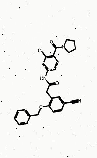 N#Cc1ccc(OCc2ccccc2)c(CC(=O)Nc2ccc(C(=O)N3CCCC3)c(Cl)c2)c1